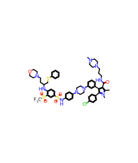 Cc1c(C(=O)NCCCN2CCN(C)CC2)c(-c2cccc(N3CCN(c4ccc(NS(=O)(=O)c5ccc(NC(CCN6CCOCC6)CSc6ccccc6)c(S(=O)(=O)C(F)(F)F)c5)cc4)CC3)c2)c(-c2ccc(Cl)cc2)n1C